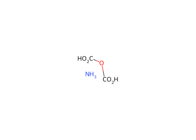 N.O=C(O)OC(=O)O